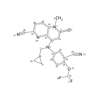 Cn1c(=O)cc(N(CC2CC2)c2ccc(OC(F)F)c(C#N)c2)c2nc(C#N)ccc21